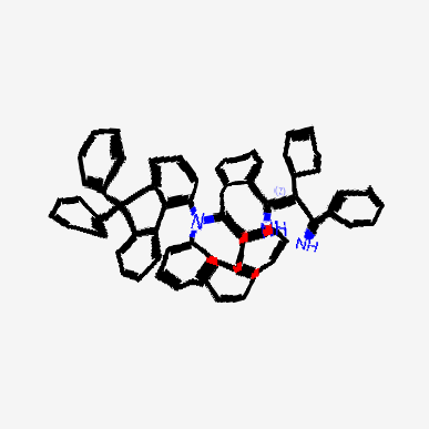 N=C(/C(=C1\NC(c2ccccc2)=C(N(c2ccccc2-c2ccccc2)c2cccc3c2-c2ccccc2C3(c2ccccc2)c2ccccc2)c2ccccc21)c1ccccc1)c1ccccc1